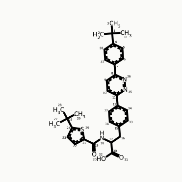 CC(C)(C)c1ccc(-c2ccc(-c3ccc(CC(NC(=O)c4ccc(C(C)(C)C)s4)C(=O)O)cc3)nn2)cc1